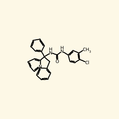 Cc1cc(NC(=O)NC(Cc2ccccc2)(c2ccccc2)c2ccccn2)ccc1Cl